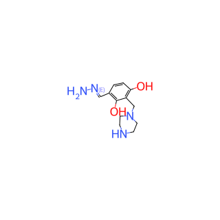 N/N=C/c1ccc(O)c(CN2CCNCC2)c1O